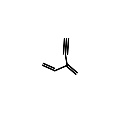 C#CC(=C)C=C